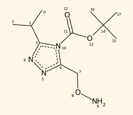 CC(C)c1nnc(CON)n1C(=O)OC(C)(C)C